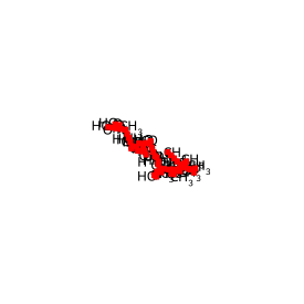 CCCCCCCOCN(C(=O)[C@@H](NC(=O)[C@H]1CCCCN1C)C(C)CC)[C@H](C[C@@H](OC(C)=O)c1nc(C(=O)N[C@@H](Cc2ccc(O)cc2)C[C@H](C)C(=O)NNC(=O)OCCSSC[C@H](NC(=O)[C@H](CC(=O)O)NC(=O)[C@H](CC(=O)O)NC(=O)Cc2ccc(CNC(=O)NCCCC[C@@H](C)NC(=O)N[C@@H](CCC(=O)O)C(=O)O)cc2)C(=O)O)cs1)C(C)C